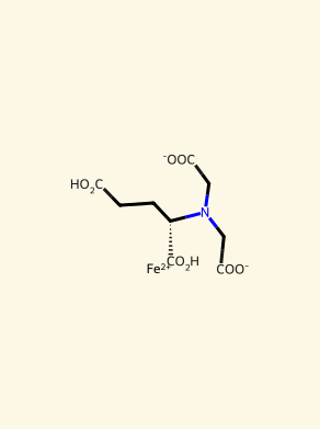 O=C([O-])CN(CC(=O)[O-])[C@@H](CCC(=O)O)C(=O)O.[Fe+2]